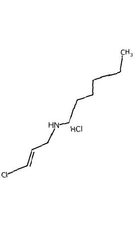 CCCCCCNCC=CCl.Cl